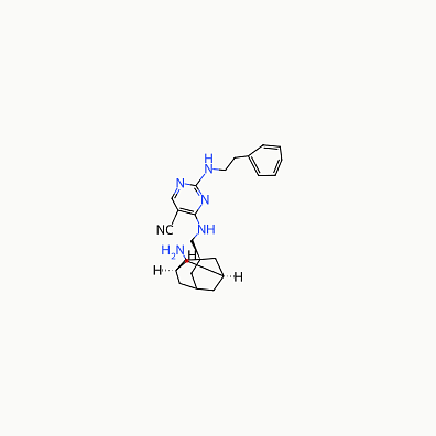 N#Cc1cnc(NCCc2ccccc2)nc1NC[C@]12CC3C[C@H](C1)[C@@H](N)[C@@H](C3)C2